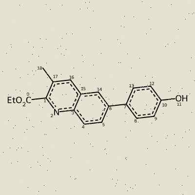 CCOC(=O)c1nc2ccc(-c3ccc(O)cc3)cc2cc1C